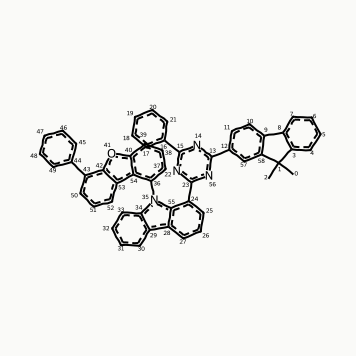 CC1(C)c2ccccc2-c2ccc(-c3nc(-c4ccccc4)nc(-c4cccc5c6ccccc6n(-c6cccc7oc8c(-c9ccccc9)cccc8c67)c45)n3)cc21